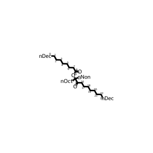 CCCCCCCCCCCCCCCCCC(=O)OC(CCCCCCCC)(CCCCCCCCC)C(=O)CCCCCCCCCCCCCCCCC